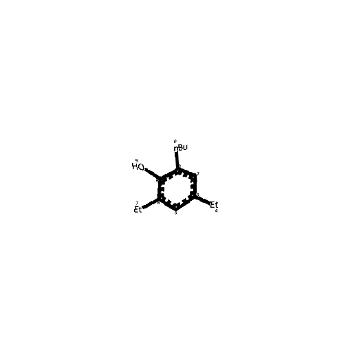 CCCCc1cc(CC)cc(CC)c1O